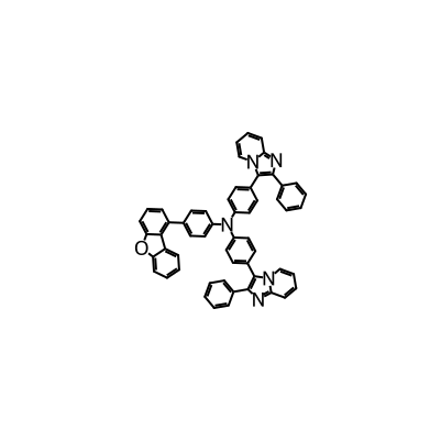 c1ccc(-c2nc3ccccn3c2-c2ccc(N(c3ccc(-c4cccc5oc6ccccc6c45)cc3)c3ccc(-c4c(-c5ccccc5)nc5ccccn45)cc3)cc2)cc1